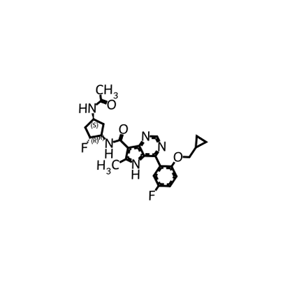 CC(=O)N[C@@H]1C[C@@H](F)[C@H](NC(=O)c2c(C)[nH]c3c(-c4cc(F)ccc4OCC4CC4)ncnc23)C1